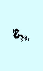 CCOC(=S)Cc1cccc2nccn12